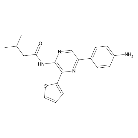 CC(C)CC(=O)Nc1ncc(-c2ccc(N)cc2)nc1-c1cccs1